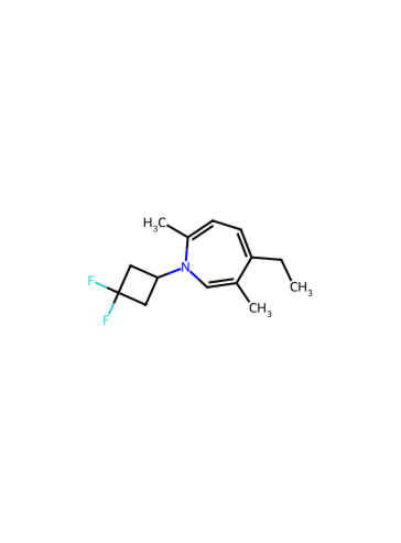 CCC1=CC=C(C)N(C2CC(F)(F)C2)C=C1C